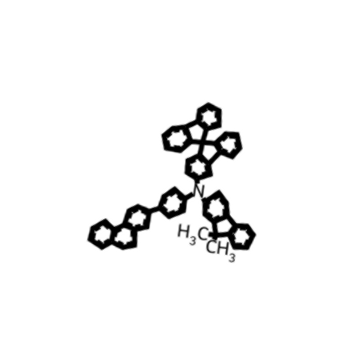 CC1(C)c2ccccc2-c2ccc(N(c3ccc(-c4ccc5c(ccc6ccccc65)c4)cc3)c3ccc4c(c3)-c3ccccc3C43c4ccccc4-c4ccccc43)cc21